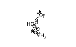 COc1ccc2nccc(C(=O)CC[C@H]3CCN(CC#Cc4cc(F)cc(F)c4F)C[C@H]3C(=O)O)c2c1